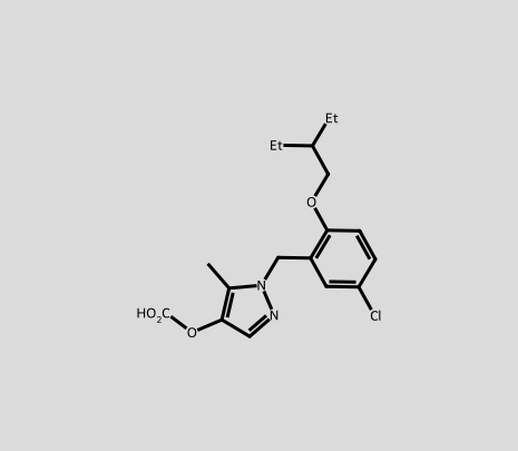 CCC(CC)COc1ccc(Cl)cc1Cn1ncc(OC(=O)O)c1C